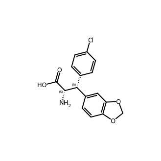 N[C@H](C(=O)O)[C@H](c1ccc(Cl)cc1)c1ccc2c(c1)OCO2